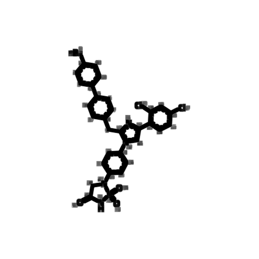 CCCCc1ccc(-c2ccc(Cc3nc(-c4ccc(Cl)cc4Cl)cn3-c3ccc(N4CC(=O)NS4(=O)=O)cc3)cc2)cc1